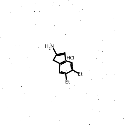 CCc1cc2c(cc1CC)CC(N)=C2.Cl